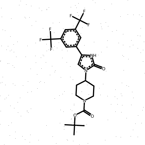 CC(C)(C)OC(=O)N1CCC(n2cc(-c3cc(C(F)(F)F)cc(C(F)(F)F)c3)[nH]c2=O)CC1